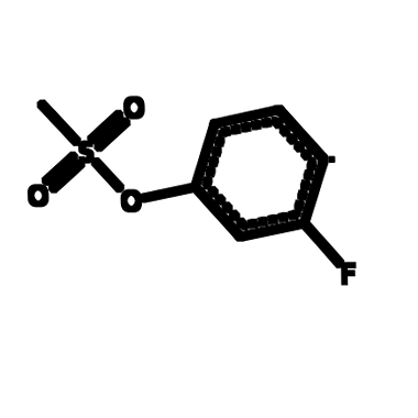 CS(=O)(=O)Oc1cc[c]c(F)c1